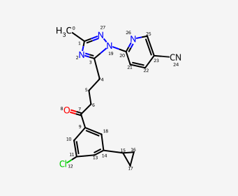 Cc1nc(CCCC(=O)c2cc(Cl)cc(C3CC3)c2)n(-c2ccc(C#N)cn2)n1